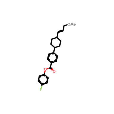 COC/C=C/C1CCC(c2ccc(C(=O)Oc3ccc(F)cc3)cc2)CC1